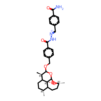 C[C@H]1C(OCc2ccc(C(=O)N/N=C/c3ccc(C(N)=O)cc3)cc2)OC2O[C@]3(C)CCC4[C@H](C)CCC1[C@@]24OO3